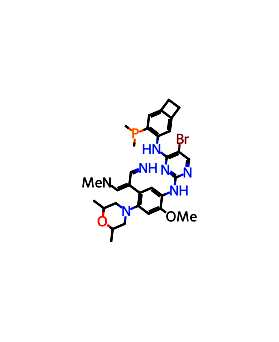 CN/C=C(\C=N)c1cc(Nc2ncc(Br)c(Nc3cc4c(cc3P(C)C)CC4)n2)c(OC)cc1N1CC(C)OC(C)C1